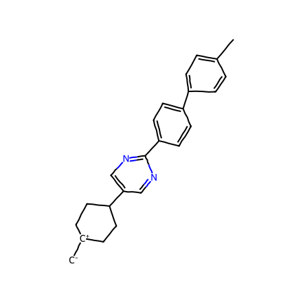 [CH2-][C+]1CCC(c2cnc(-c3ccc(-c4ccc(C)cc4)cc3)nc2)CC1